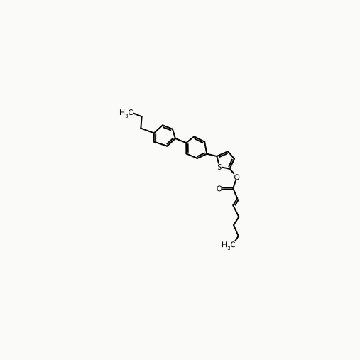 CCCCC=CC(=O)Oc1ccc(-c2ccc(-c3ccc(CCC)cc3)cc2)s1